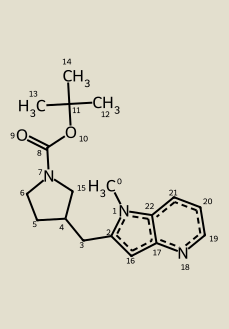 Cn1c(CC2CCN(C(=O)OC(C)(C)C)C2)cc2ncccc21